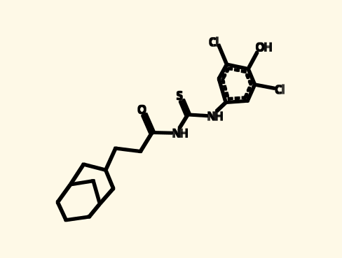 O=C(CCC1CC2CCCC(C2)C1)NC(=S)Nc1cc(Cl)c(O)c(Cl)c1